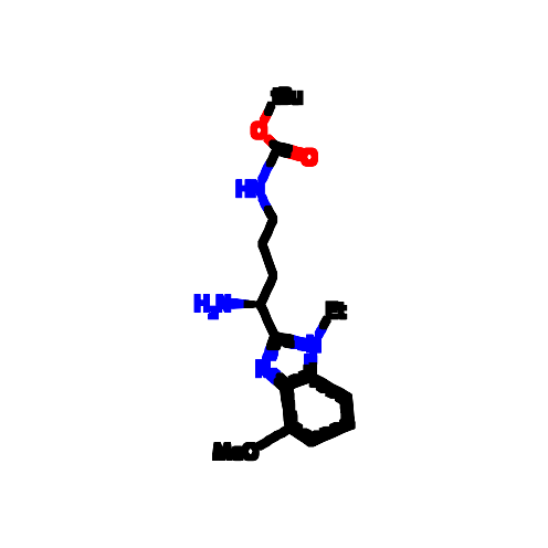 CCn1c([C@@H](N)CCCNC(=O)OC(C)(C)C)nc2c(OC)cccc21